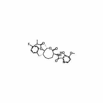 COc1ccnc(C(=O)N[C@H]2CCC[C@H](Cc3ccc(F)cc3)[C@@H](OC(=O)C(C)C)[C@H](C)OC2=O)c1O